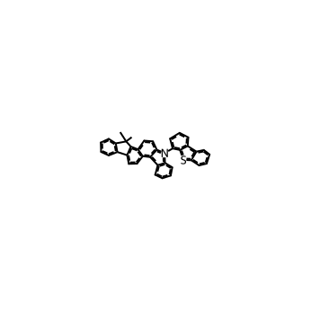 CC1(C)c2ccccc2-c2ccc3c(ccc4c3c3ccccc3n4-c3cccc4c3sc3ccccc34)c21